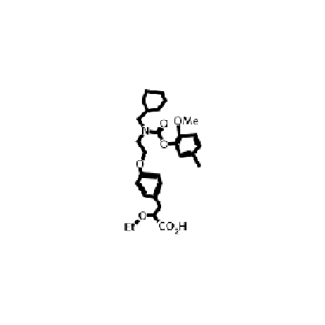 CCOC(Cc1ccc(OCCN(CC2CCCCC2)C(=O)Oc2cc(C)ccc2OC)cc1)C(=O)O